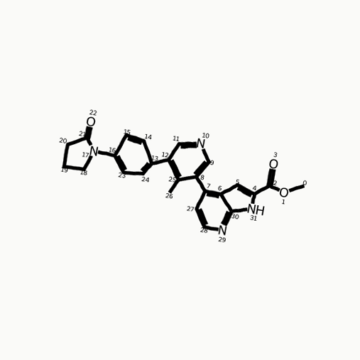 COC(=O)c1cc2c(-c3cncc(-c4ccc(N5CCCC5=O)cc4)c3C)ccnc2[nH]1